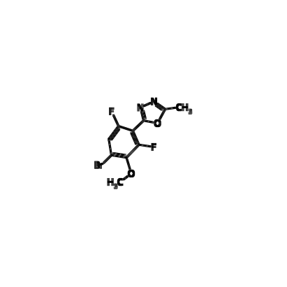 COc1c(Br)cc(F)c(-c2nnc(C)o2)c1F